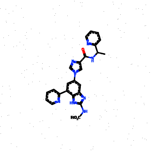 CCOC(=O)Nc1nc2cc(-n3cnc(C(=O)NC(C)c4ccccn4)c3)cc(-c3ccccn3)c2[nH]1